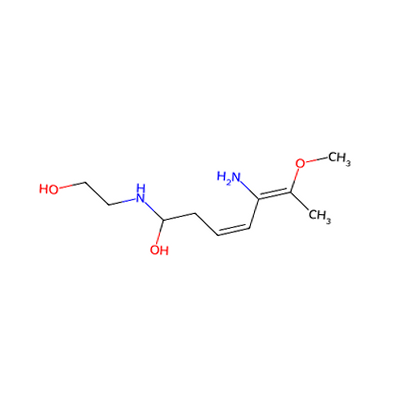 CO/C(C)=C(N)/C=C\CC(O)NCCO